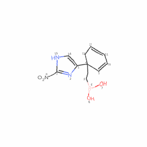 O=[N+]([O-])c1nc(C2(CB(O)O)C=CC=CC2)c[nH]1